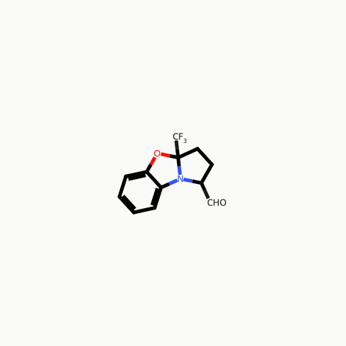 O=CC1CCC2(C(F)(F)F)Oc3ccccc3N12